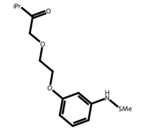 CSNc1cccc(OCCOCC(=O)C(C)C)c1